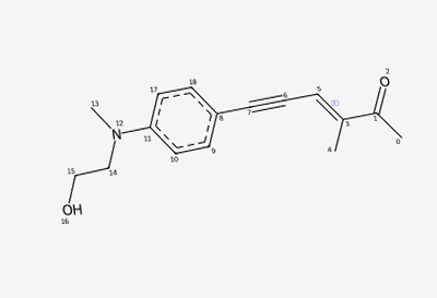 CC(=O)/C(C)=C/C#Cc1ccc(N(C)CCO)cc1